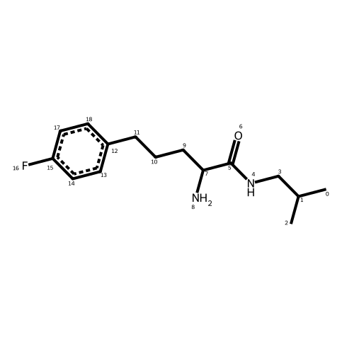 CC(C)CNC(=O)C(N)CCCc1ccc(F)cc1